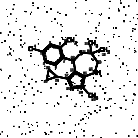 Cc1cc(Cl)ccc1[C@H]1SC(C)(C)CNc2c1c(C1CC1)nn2C